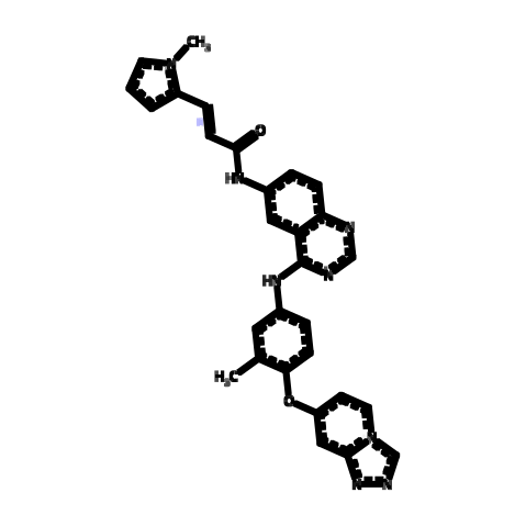 Cc1cc(Nc2ncnc3ccc(NC(=O)/C=C/c4cccn4C)cc23)ccc1Oc1ccn2cnnc2c1